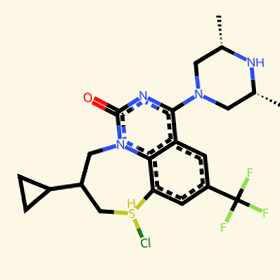 C[C@@H]1CN(c2nc(=O)n3c4c(cc(C(F)(F)F)cc24)[SH](Cl)CC(C2CC2)C3)C[C@H](C)N1